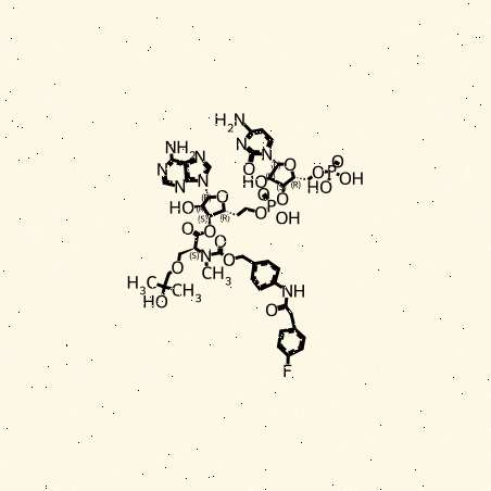 CN(C(=O)OCc1ccc(NC(=O)Cc2ccc(F)cc2)cc1)[C@@H](COCC(C)(C)O)C(=O)O[C@H]1[C@@H](O)[C@H](n2cnc3c(N)ncnc32)O[C@@H]1CCOP(=O)(O)O[C@H]1[C@@H](O)[C@H](n2ccc(N)nc2=O)O[C@@H]1COP(=O)(O)O